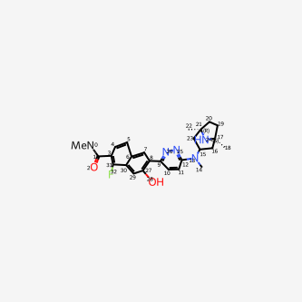 CNC(=O)c1ccc2cc(-c3ccc(N(C)C4C[C@]5(C)CC[C@](C)(C4)N5)nn3)c(O)cc2c1F